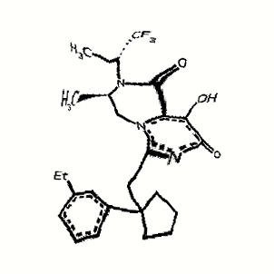 CCc1cccc(C2(Cc3nc(=O)c(O)c4n3C[C@@H](C)N([C@H](C)C(F)(F)F)C4=O)CCCC2)c1